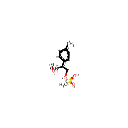 CCO.Cc1ccc(C(COS(C)(=O)=O)[N+](=O)[O-])cc1